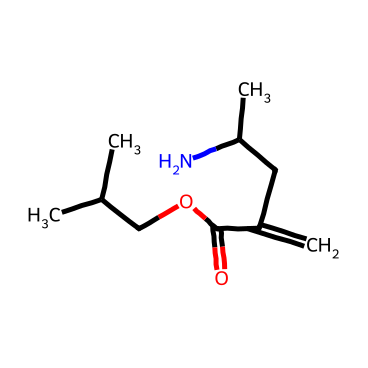 C=C(CC(C)N)C(=O)OCC(C)C